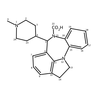 CN1CCC(C2c3cccc4c3N(CC4)c3ccccc3N2C(=O)O)CC1